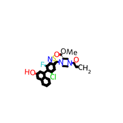 C=CC(=O)N1CCN(c2snc3c(F)c(-c4cc(O)cc5ccccc45)c(Cl)cc23)[C@H](C(=O)OC)C1